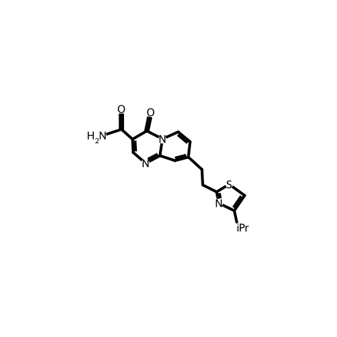 CC(C)c1csc(CCc2ccn3c(=O)c(C(N)=O)cnc3c2)n1